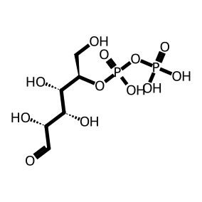 O=C[C@H](O)[C@@H](O)[C@H](O)[C@@H](CO)OP(=O)(O)OP(=O)(O)O